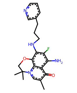 Cc1cn2c3c(c(NCCCc4cccnc4)c(F)c(N)c3c1=O)OCC2(C)C